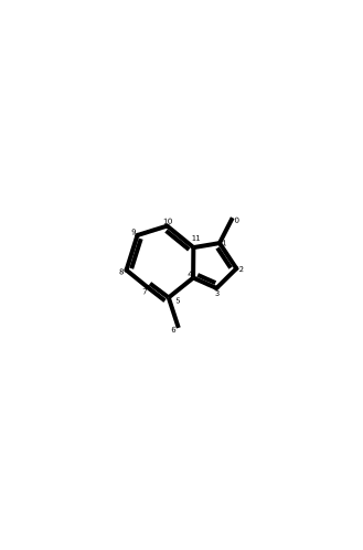 Cc1ccc2c(C)ccccc1-2